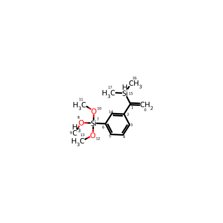 C=C(c1cccc([Si](OC)(OC)OC)c1)[SiH](C)C